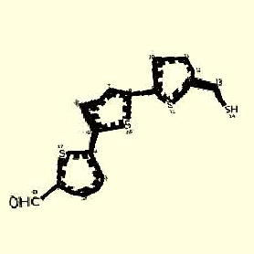 O=Cc1ccc(-c2ccc(-c3ccc(CS)s3)s2)s1